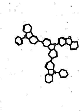 C1=CCCC(N2C3CCC(C4C=CC5C(C4)C4CC(C6C=CC7C8=C(CCCC8)N(C8C=CCCC8)C7C6)C=CC4N5C4=CC=C5OC6CCC=CC6C5C4)C=C3C3CCC=CC32)=C1